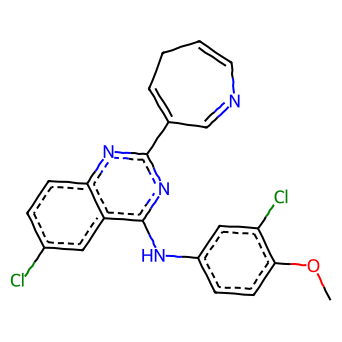 COc1ccc(Nc2nc(C3=CCC=CN=C3)nc3ccc(Cl)cc23)cc1Cl